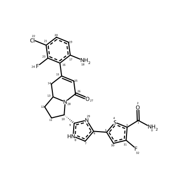 NC(=O)c1sc(-c2c[nH]c([C@@H]3CCC4CC(c5c(N)ccc(Cl)c5F)=CC(=O)N43)n2)cc1F